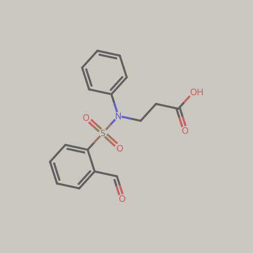 O=Cc1ccccc1S(=O)(=O)N(CCC(=O)O)c1ccccc1